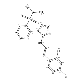 CC(C)S(=O)(=O)c1ccccc1-n1nccc1N/N=C/c1ccc(F)cc1Cl